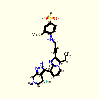 COc1cc(S(C)(=O)=O)ccc1NCC#Cc1nc2c(-c3[nH]nc4c3[C@H](F)CN(C)C4)cccn2c1CC(F)(F)F